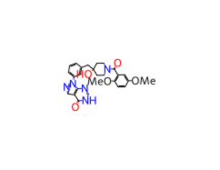 COc1ccc(OC)c(C(=O)N2CCC(O)(Cc3cccc(-n4ncc5c(=O)[nH]cnc54)c3)CC2)c1